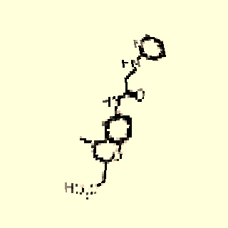 CN1CC(CC(=O)O)Oc2ccc(NC(=O)CCNc3ccccn3)cc21